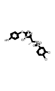 CCCc1ccc(Oc2nnc([C@@H](C)NS(=O)(=O)c3ccc(Cl)c(Cl)c3)n2CC)cc1